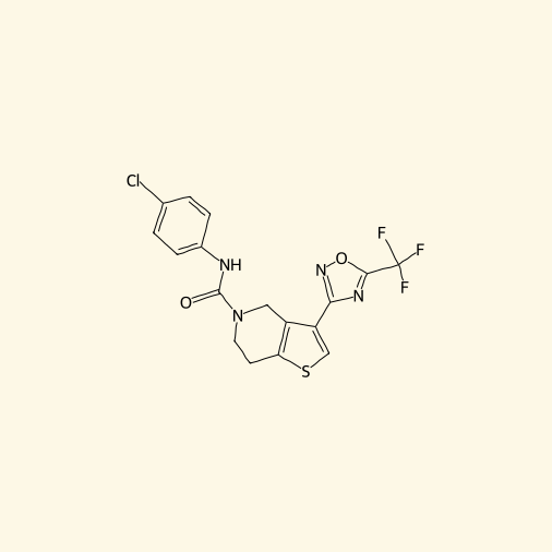 O=C(Nc1ccc(Cl)cc1)N1CCc2scc(-c3noc(C(F)(F)F)n3)c2C1